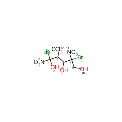 O=[N+]([O-])C(O)(Br)C(C(O)C(Br)(CO)[N+](=O)[O-])C(Cl)(Cl)Cl